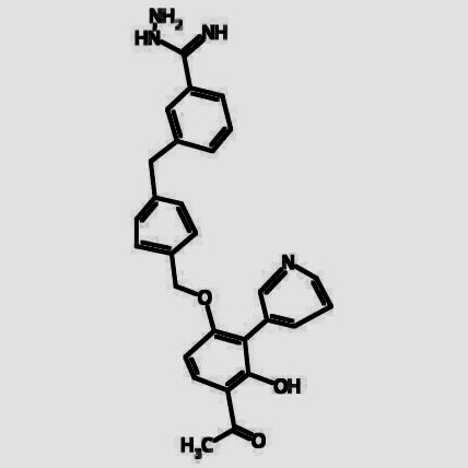 CC(=O)c1ccc(OCc2ccc(Cc3cccc(C(=N)NN)c3)cc2)c(-c2cccnc2)c1O